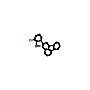 CSc1c(Cl)cccc1-c1cc2c3c(cccc3c1)-c1ccccc1-2